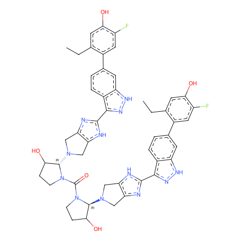 CCc1cc(O)c(F)cc1-c1ccc2c(-c3nc4c([nH]3)CN([C@H]3C(O)CCN3C(=O)N3CCC(O)[C@@H]3N3Cc5nc(-c6n[nH]c7cc(-c8cc(F)c(O)cc8CC)ccc67)[nH]c5C3)C4)n[nH]c2c1